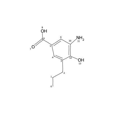 CCCc1cc(C(=O)O)cc(N)c1O